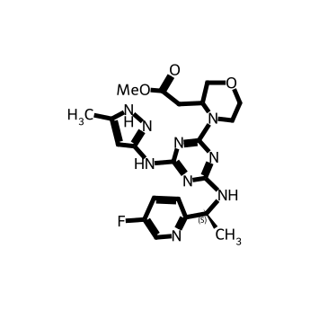 COC(=O)CC1COCCN1c1nc(Nc2cc(C)[nH]n2)nc(N[C@@H](C)c2ccc(F)cn2)n1